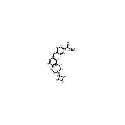 CNC(=O)c1ccc(Cc2ccc3c(c2)CCN(C2CCC2)CC3)cc1